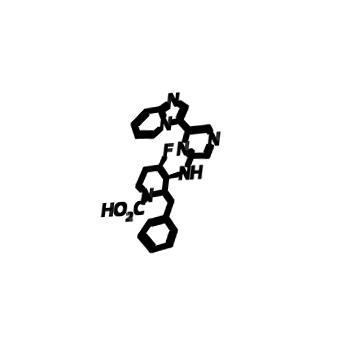 O=C(O)N1CC[C@@H](F)[C@@H](Nc2cncc(-c3cnc4ccccn34)n2)C1Cc1ccccc1